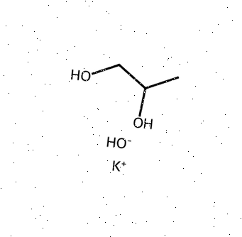 CC(O)CO.[K+].[OH-]